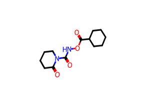 O=C(ONC(=O)N1CCCCC1=O)C1CCCCC1